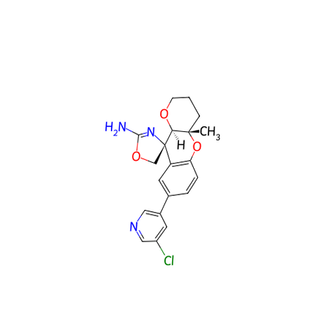 C[C@]12CCCO[C@@H]1[C@]1(COC(N)=N1)c1cc(-c3cncc(Cl)c3)ccc1O2